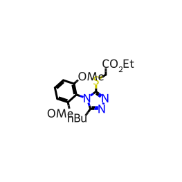 CCCCc1nnc(SCC(=O)OCC)n1-c1c(OC)cccc1OC